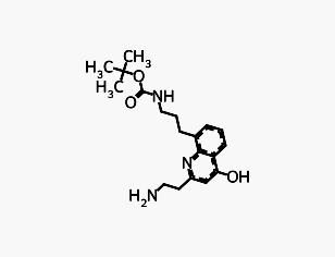 CC(C)(C)OC(=O)NCCCc1cccc2c(O)cc(CCN)nc12